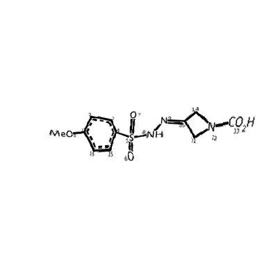 COc1ccc(S(=O)(=O)NN=C2CN(C(=O)O)C2)cc1